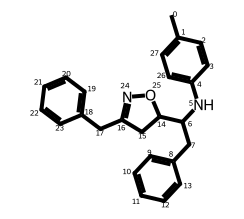 Cc1ccc(NC(Cc2ccccc2)C2CC(Cc3ccccc3)=NO2)cc1